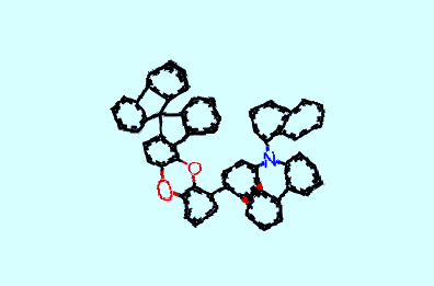 c1ccc(-c2ccccc2N(c2ccc(-c3cccc4c3Oc3c(ccc5c3-c3ccccc3C53c5ccccc5-c5ccccc53)O4)cc2)c2cccc3ccccc23)cc1